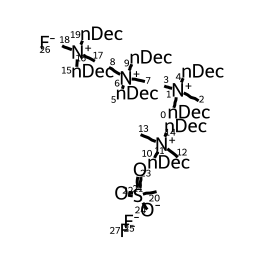 CCCCCCCCCC[N+](C)(C)CCCCCCCCCC.CCCCCCCCCC[N+](C)(C)CCCCCCCCCC.CCCCCCCCCC[N+](C)(C)CCCCCCCCCC.CCCCCCCCCC[N+](C)(C)CCCCCCCCCC.CS(=O)(=O)[O-].[F-].[F-].[F-]